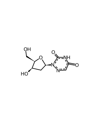 O=c1cnn([C@H]2C[C@@H](O)[C@@H](CO)O2)c(=O)[nH]1